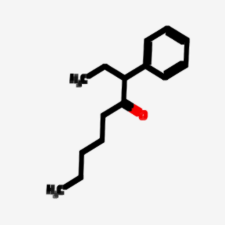 CCCCCC(=O)C(CC)c1ccccc1